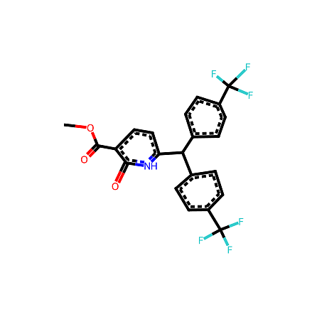 COC(=O)c1ccc(C(c2ccc(C(F)(F)F)cc2)c2ccc(C(F)(F)F)cc2)[nH]c1=O